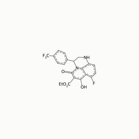 CCOC(=O)c1c(O)c2c(F)ccc3c2n(c1=O)C(c1ccc(C(F)(F)F)cc1)CN3